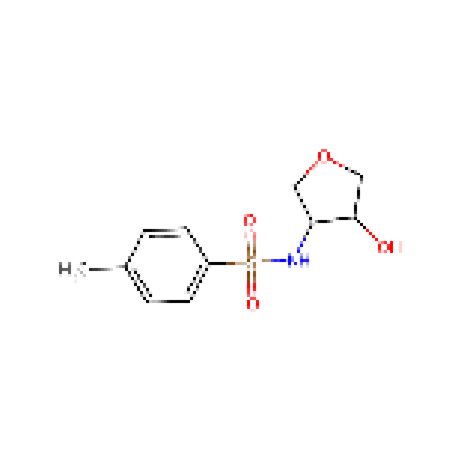 Cc1ccc(S(=O)(=O)NC2COCC2O)cc1